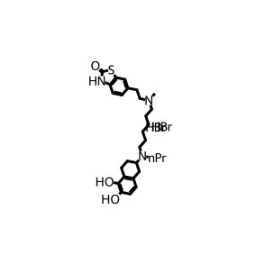 Br.Br.CCCN(CCCCCCN(C)CCc1ccc2[nH]c(=O)sc2c1)C1CCc2c(ccc(O)c2O)C1